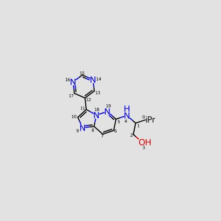 CC(C)C(CO)Nc1ccc2ncc(-c3cncnc3)n2n1